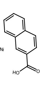 O=C(O)c1ccc2ccccc2c1.[Ni]